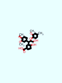 COc1ccc(C(c2cc(C(=O)O)ccc2O)C(CO)Oc2ccc(C)cc2OC)cc1OC